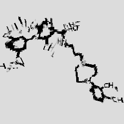 COc1cc(OC)cc(-n2c(C)nc(C(=O)NCCCN3CCN(c4cccc(C)c4C)CC3)c2C)c1.Cl.Cl